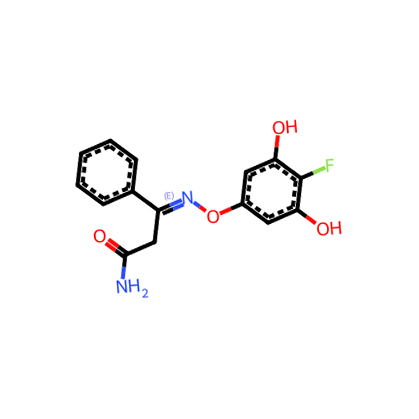 NC(=O)C/C(=N\Oc1cc(O)c(F)c(O)c1)c1ccccc1